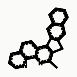 Cc1nc2c(ccc3cccnc32)c2c1Cc1cc3ccccc3cc1-2